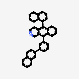 c1cc(-c2ccc3ccccc3c2)cc(-c2c3ccccc3c(-c3cccc4ccccc34)c3ccncc23)c1